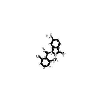 Nc1ccc2c(Br)nn(C(=O)c3c(Cl)cccc3C(F)(F)F)c2c1